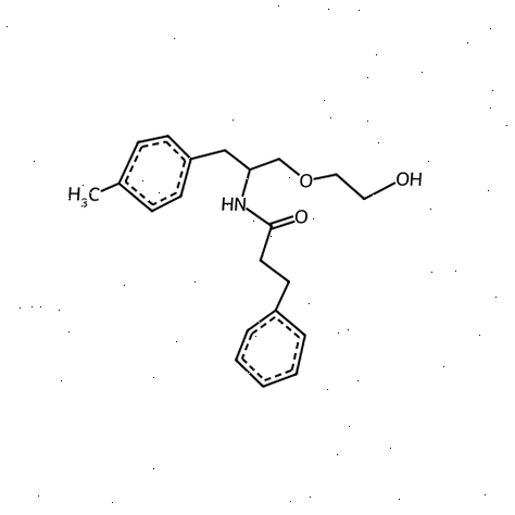 Cc1ccc(CC(COCCO)NC(=O)CCc2ccccc2)cc1